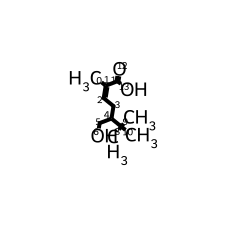 CC(=CCC(CO)C(C)(C)C)C(=O)O